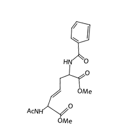 COC(=O)C(C=CCC(NC(=O)c1ccccc1)C(=O)OC)NC(C)=O